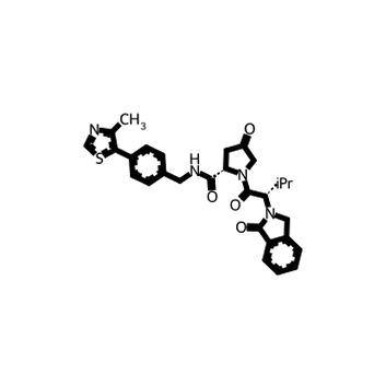 Cc1ncsc1-c1ccc(CNC(=O)[C@@H]2CC(=O)CN2C(=O)[C@H](C(C)C)N2Cc3ccccc3C2=O)cc1